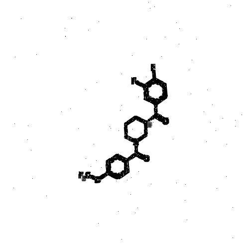 O=C(c1ccc(F)c(F)c1)[C@H]1CCCN(C(=O)c2ccc(OC(F)(F)F)cc2)C1